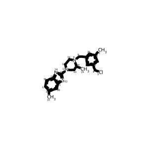 Cc1cc(CCl)cc(CN2CCN(c3nc4ccc(C)cc4s3)CC2C)c1